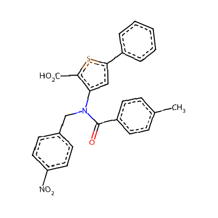 Cc1ccc(C(=O)N(Cc2ccc([N+](=O)[O-])cc2)c2cc(-c3ccccc3)sc2C(=O)O)cc1